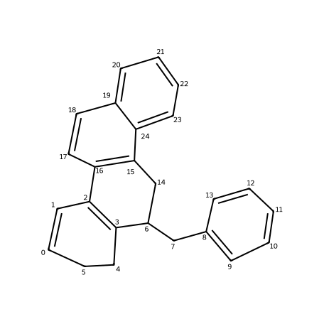 C1=CC2=C(CC1)C(Cc1ccccc1)Cc1c2ccc2ccccc12